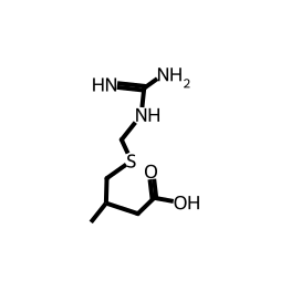 CC(CSCNC(=N)N)CC(=O)O